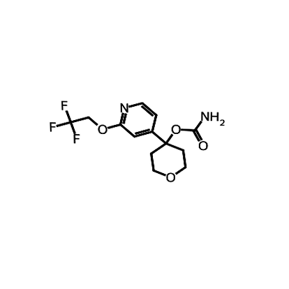 NC(=O)OC1(c2ccnc(OCC(F)(F)F)c2)CCOCC1